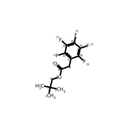 CC(C)(C)COC(=O)Cc1c(F)c(F)c(F)c(F)c1F